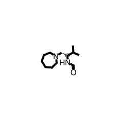 CC(C)[C@@H](CN1CCCCCC1)NC=O